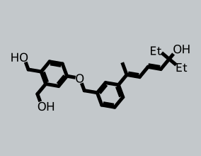 CCC(O)(/C=C/C=C(\C)c1cccc(COc2ccc(CO)c(CO)c2)c1)CC